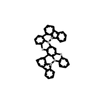 c1ccc2c(c1)Sc1cc3c(c4c1B2n1c2ccccc2c2cccc-4c21)Sc1cccc2c1B3n1c3ccccc3c3cccc-2c31